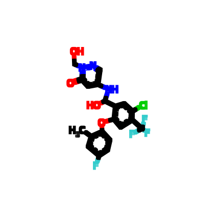 Cc1cc(F)ccc1Oc1cc(C(F)(F)F)c(Cl)cc1C(O)Nc1cnn(CO)c(=O)c1